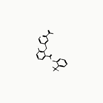 CC(=O)c1cc(Cc2c(N)cccc2C(=O)Nc2ccccc2C(F)(F)F)ccn1